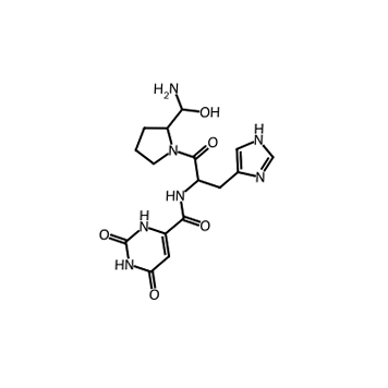 NC(O)C1CCCN1C(=O)C(Cc1c[nH]cn1)NC(=O)c1cc(=O)[nH]c(=O)[nH]1